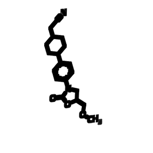 COCC1CN(c2ccc(C3CCC(CC#N)CC3)cc2)C(=O)O1